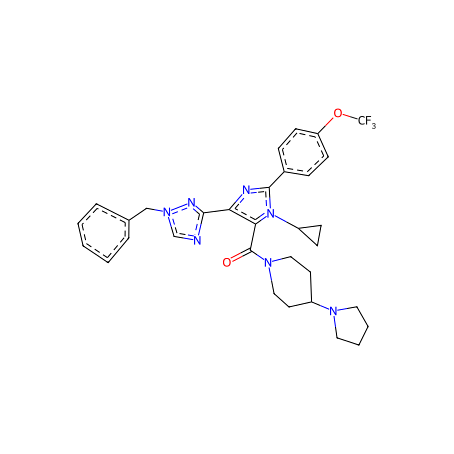 O=C(c1c(-c2ncn(Cc3ccccc3)n2)nc(-c2ccc(OC(F)(F)F)cc2)n1C1CC1)N1CCC(N2CCCC2)CC1